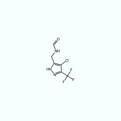 O=CNCc1[nH]nc(C(F)(F)F)c1Cl